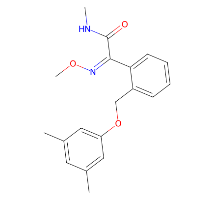 CNC(=O)C(=NOC)c1ccccc1COc1cc(C)cc(C)c1